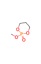 COP1(=O)OCCCO1